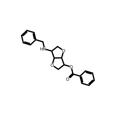 O=C(OC1COC2C(NCc3ccccc3)COC12)c1ccccc1